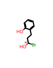 Oc1ccccc1CC[C@H](O)Br